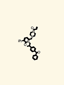 C=CC(=O)N1CCN(Cc2ccc(C(C)C)c(=O)n2CC(C)c2ccc(C(=O)c3ccccc3)cc2)CC1